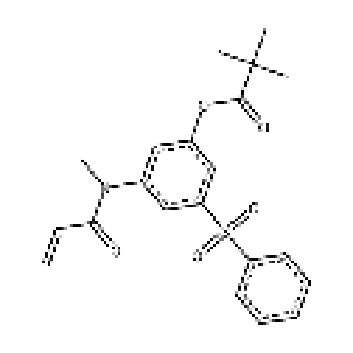 C=CC(=O)N(C)c1cc(OC(=O)C(C)(C)C)cc(S(=O)(=O)c2ccccc2)c1